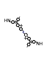 Cc1ccc(N(c2ccc(C=N)cc2)c2ccc3c(c2)C(C)(C)c2cc(/C=C/C4=CC5C(C=C4)c4ccc(N(c6ccc(C)cc6)c6ccc(C=N)cc6)cc4C5(C)C)ccc2-3)cc1